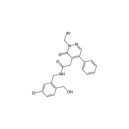 CC(C)Cn1ncc(-c2ccccc2)c(CC(=O)NCc2cc(Cl)ccc2CO)c1=O